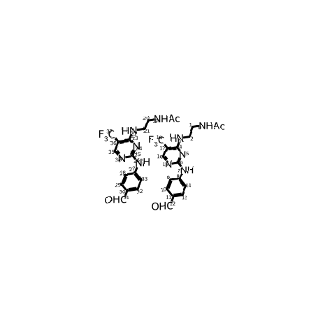 CC(=O)NCCNc1nc(Nc2ccc(C=O)cc2)ncc1C(F)(F)F.CC(=O)NCCNc1nc(Nc2ccc(C=O)cc2)ncc1C(F)(F)F